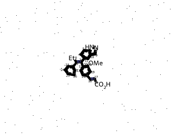 CC/C(=C(\c1ccc2[nH]ncc2c1)c1ccc(/C=C/C(=O)O)cc1OC)c1ccccc1